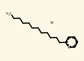 CCCCCCCCCCCCc1ccccn1.[W]